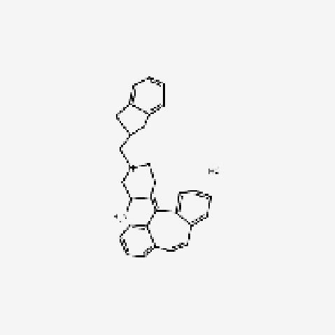 Cl.NC1CN(CC2Cc3ccccc3C2)CCC1=C1c2ccccc2C=Cc2ccccc21